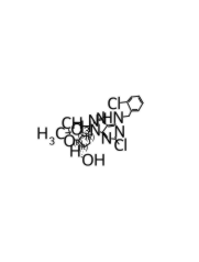 CC1(C)O[C@@H]2[C@@H](CO)C[C@@H](n3nnc4c(NCc5ccccc5Cl)nc(Cl)nc43)[C@@H]2O1